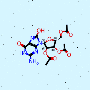 CC(=O)OC[C@H]1O[C@@H](n2c(O)nc3c(=O)[nH]c(N)nc32)[C@H](OC(C)=O)[C@@H]1OC(C)=O